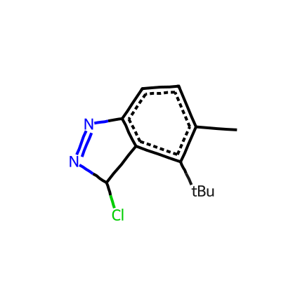 Cc1ccc2c(c1C(C)(C)C)C(Cl)N=N2